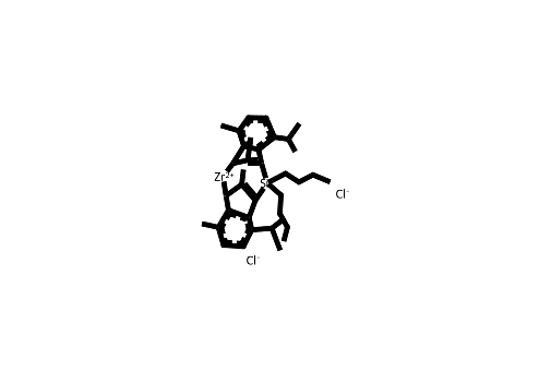 CCCC[Si]1(CCCC)C2=C(C)[CH]([Zr+2][CH]3C(C)=C1c1c(C(C)C)ccc(C)c13)c1c(C)ccc(C(C)C)c12.[Cl-].[Cl-]